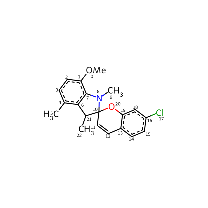 COc1ccc(C)c2c1N(C)C1(C=Cc3ccc(Cl)cc3O1)C2C